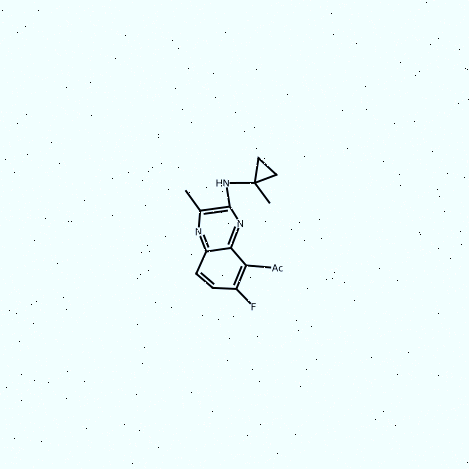 CC(=O)c1c(F)ccc2nc(C)c(NC3(C)CC3)nc12